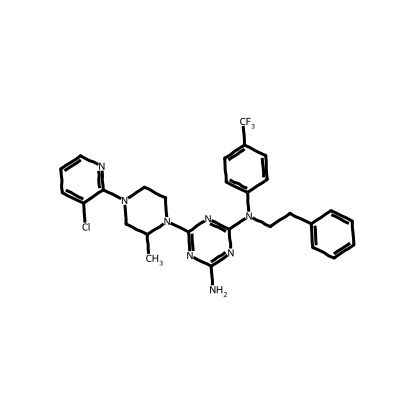 CC1CN(c2ncccc2Cl)CCN1c1nc(N)nc(N(CCc2ccccc2)c2ccc(C(F)(F)F)cc2)n1